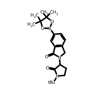 CC(C)(C)N1CCC(N2Cc3ccc(B4OC(C)(C)C(C)(C)O4)cc3C2=O)C1=O